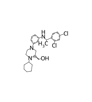 CC(Nc1cccc(N2CCN(C3CCCCC3)[C@H](CO)C2)c1)c1ccc(Cl)cc1Cl